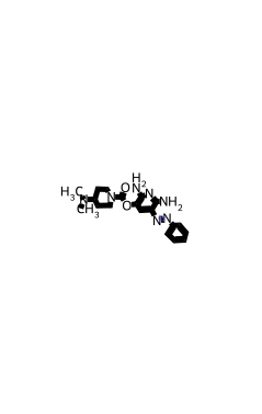 CN(C)C1CCN(C(=O)Oc2cc(/N=N/c3ccccc3)c(N)nc2N)CC1